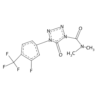 CN(C)C(=O)n1nnn(-c2ccc(C(F)(F)F)c(F)c2)c1=O